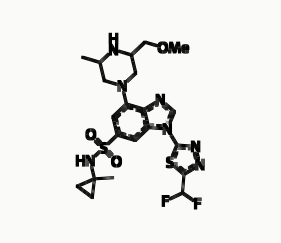 COCC1CN(c2cc(S(=O)(=O)NC3(C)CC3)cc3c2ncn3-c2nnc(C(F)F)s2)CC(C)N1